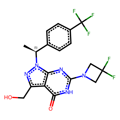 C[C@@H](c1ccc(C(F)(F)F)cc1)n1nc(CO)c2c(=O)[nH]c(N3CC(F)(F)C3)nc21